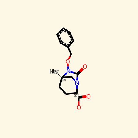 O=C([O-])[C@@H]1CC[C@@H]2CN1C(=O)N2OCc1ccccc1.[Na+]